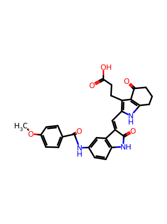 COc1ccc(C(=O)Nc2ccc3c(c2)C(=Cc2[nH]c4c(c2CCC(=O)O)C(=O)CCC4)C(=O)N3)cc1